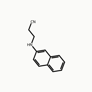 N#CCCNc1ccc2ccccc2c1